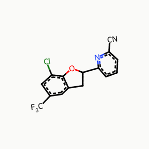 N#Cc1cccc(C2Cc3cc(C(F)(F)F)cc(Cl)c3O2)n1